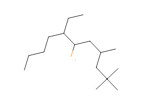 CCCCC(CC)C(P)CC(C)CC(C)(C)C